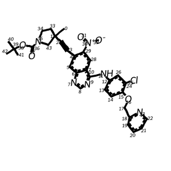 CC1(C#Cc2cc3ncnc(Nc4ccc(OCc5ccccn5)c(Cl)c4)c3cc2[N+](=O)[O-])CCN(C(=O)OC(C)(C)C)C1